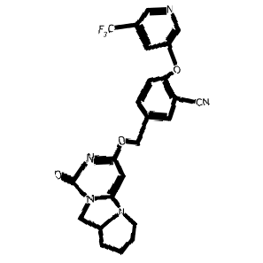 N#Cc1cc(COc2cc3n(c(=O)n2)CC2CCCCN32)ccc1Oc1cncc(C(F)(F)F)c1